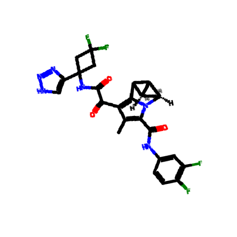 Cc1c(C(=O)C(=O)NC2(c3c[nH]nn3)CC(F)(F)C2)c2n(c1C(=O)Nc1ccc(F)c(F)c1)[C@@H]1C3C2[C@@H]31